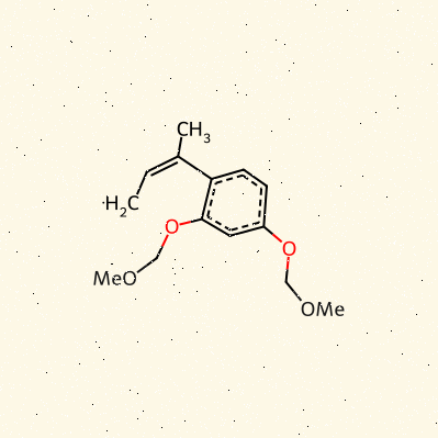 [CH2]/C=C(/C)c1ccc(OCOC)cc1OCOC